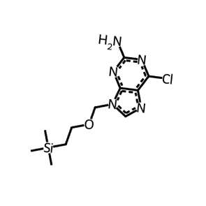 C[Si](C)(C)CCOCn1cnc2c(Cl)nc(N)nc21